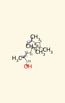 C/C=C(/C)C1CC(C)C1(C)CC/C=C(/C)CO